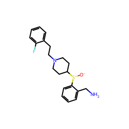 NCc1ccccc1[S+]([O-])C1CCN(CCc2ccccc2F)CC1